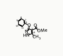 COC(=O)c1c(Oc2ccccc2)n[nH]c1C